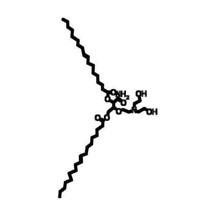 CCCCCCCCC=CCCCCCCCC(=O)OCC(OCCN(CCO)CCO)C(OC(=O)CCCCCCCC=CCCCCCCCC)C(N)=O